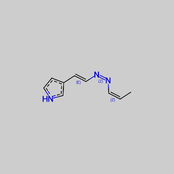 C\C=C/N=N\C=C\c1cc[nH]c1